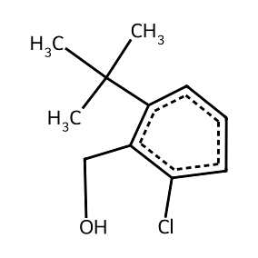 CC(C)(C)c1cccc(Cl)c1CO